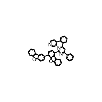 c1ccc(-c2cc(-c3ccccc3-c3ccncc3)nc(-c3ccc(-c4ccc5oc6ccccc6c5c4)c4oc5ccccc5c34)n2)cc1